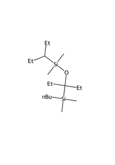 CCCC[Si](C)(C)C(CC)(CC)O[Si](C)(C)C(CC)CC